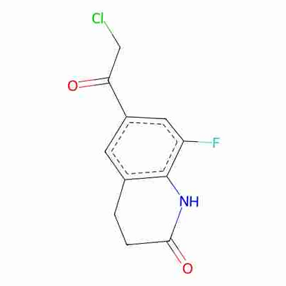 O=C1CCc2cc(C(=O)CCl)cc(F)c2N1